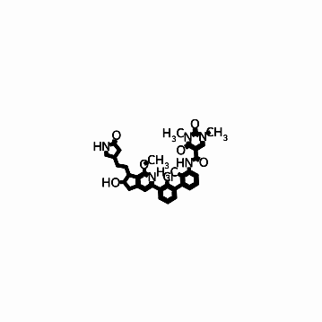 COc1nc(-c2cccc(-c3cccc(NC(=O)c4cn(C)c(=O)n(C)c4=O)c3C)c2Cl)cc2c1C(CCC1CNC(=O)C1)C(O)C2